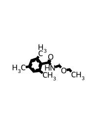 CCO[CH]NC(=O)c1c(C)cc(C)cc1C